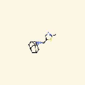 CC1=NCC(CNC23CC4CC(CC(C4)C2)C3)S1